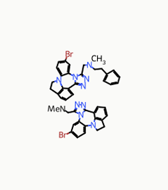 CN(CCc1ccccc1)Cc1nnc2n1-c1cc(Br)ccc1N1CCc3cccc-2c31.CNCc1nnc2n1-c1cc(Br)ccc1N1CCc3cccc-2c31